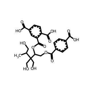 CC(CO)C(CO)(CO)C(COC(=O)c1ccc(C(=O)O)cc1)OC(=O)c1cc(C(=O)O)ccc1C(=O)O